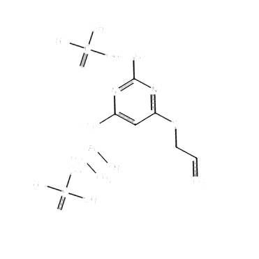 C=CCOc1cc(C)nc(C(C)C)n1.CC.CCC.OP(O)(O)=S.OP(O)(O)=S